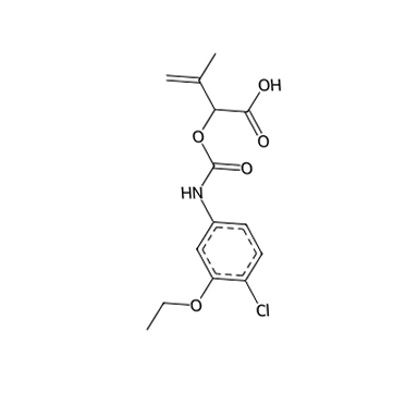 C=C(C)C(OC(=O)Nc1ccc(Cl)c(OCC)c1)C(=O)O